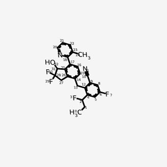 CCC(F)c1cc(F)cc(C#N)c1Cc1ccc(-c2ncccc2C)c2c1CC(F)(F)C2O